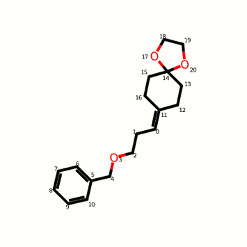 C(CCOCc1ccccc1)=C1CCC2(CC1)OCCO2